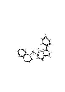 c1ccc2c(c1)CCCC2Nc1ccc2ncc(-c3ccncc3)n2n1